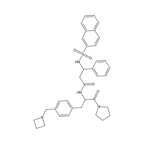 O=C(CC(NS(=O)(=O)c1ccc2ccccc2c1)c1ccccc1)NC(Cc1ccc(CN2CCC2)cc1)C(=O)N1CCCC1